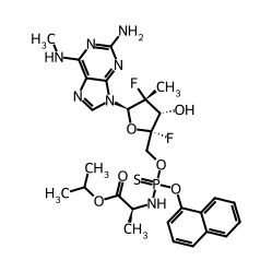 CNc1nc(N)nc2c1ncn2[C@@H]1O[C@](F)(COP(=S)(N[C@@H](C)C(=O)OC(C)C)Oc2cccc3ccccc23)[C@@H](O)[C@@]1(C)F